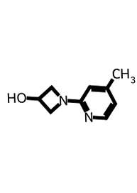 Cc1ccnc(N2CC(O)C2)c1